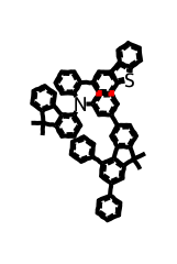 CC1(C)c2ccc(-c3cccc(N(c4ccccc4-c4ccc5sc6ccccc6c5c4)c4cccc5c4-c4ccccc4C5(C)C)c3)cc2-c2c(-c3ccccc3)cc(-c3ccccc3)cc21